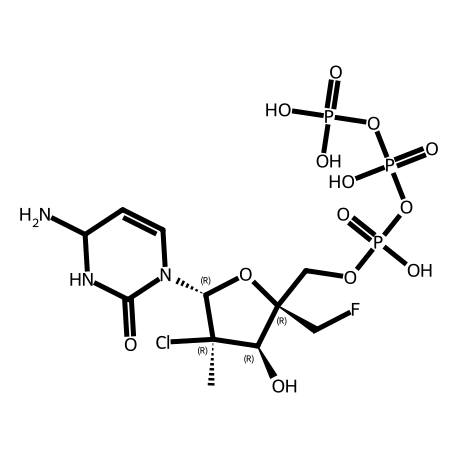 C[C@@]1(Cl)[C@H](O)[C@@](CF)(COP(=O)(O)OP(=O)(O)OP(=O)(O)O)O[C@H]1N1C=CC(N)NC1=O